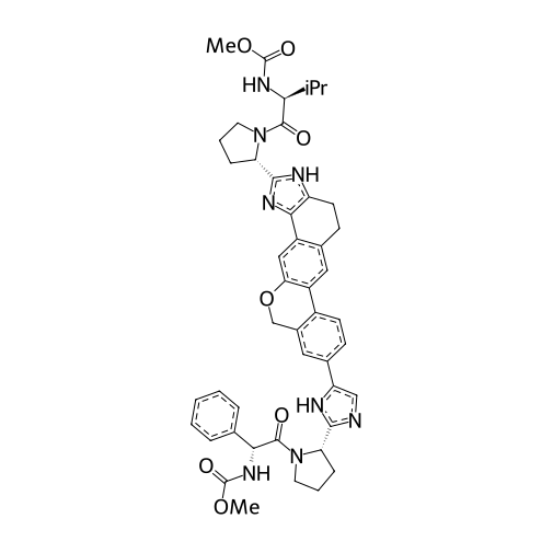 COC(=O)N[C@H](C(=O)N1CCC[C@H]1c1nc2c([nH]1)CCc1cc3c(cc1-2)OCc1cc(-c2cnc([C@@H]4CCCN4C(=O)[C@H](NC(=O)OC)c4ccccc4)[nH]2)ccc1-3)C(C)C